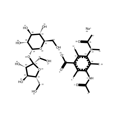 CC(=O)Nc1c(I)c(C(=O)[O-])c(I)c(N(C)C(C)=O)c1I.OC[C@H]1O[C@](CO)(O[C@H]2O[C@H](CO)[C@@H](O)[C@H](O)[C@H]2O)[C@@H](O)[C@@H]1O.[Na+]